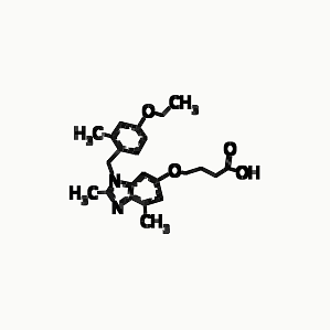 CCOc1ccc(Cn2c(C)nc3c(C)cc(OCCCC(=O)O)cc32)c(C)c1